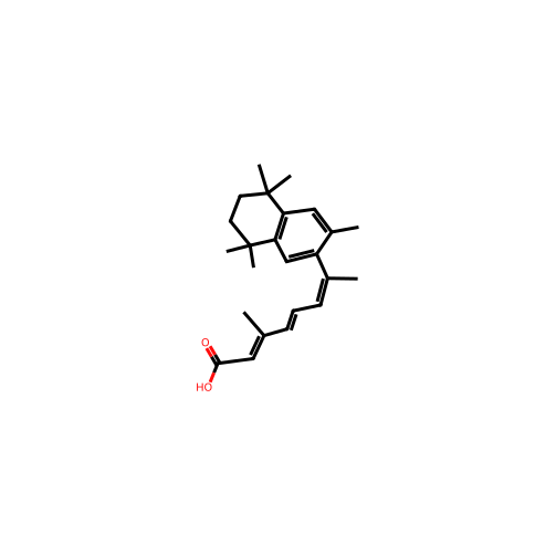 C/C(=C/C=C/C(C)=C/C(=O)O)c1cc2c(cc1C)C(C)(C)CCC2(C)C